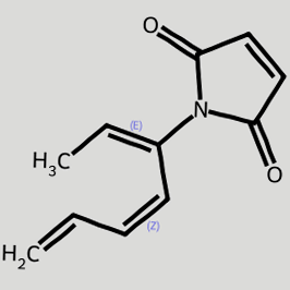 C=C/C=C\C(=C/C)N1C(=O)C=CC1=O